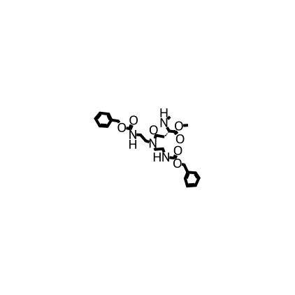 CN[C@@H](CC(=O)N(CCNC(=O)OCc1ccccc1)CCNC(=O)OCc1ccccc1)C(=O)OC